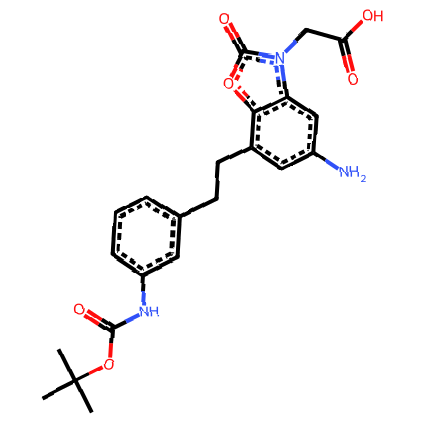 CC(C)(C)OC(=O)Nc1cccc(CCc2cc(N)cc3c2oc(=O)n3CC(=O)O)c1